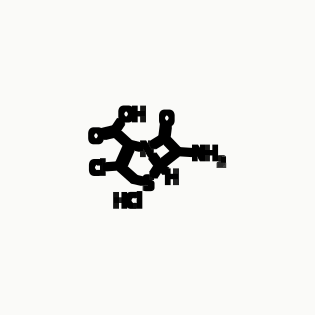 Cl.NC1C(=O)N2C(C(=O)O)=C(Cl)CS[C@@H]12